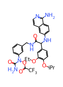 CCOc1cc(C(Nc2ccc3c(N)nccc3c2)C(=O)NCc2cccc(N(OC(=O)C(F)(F)F)C(N)=O)c2)ccc1OC(C)C